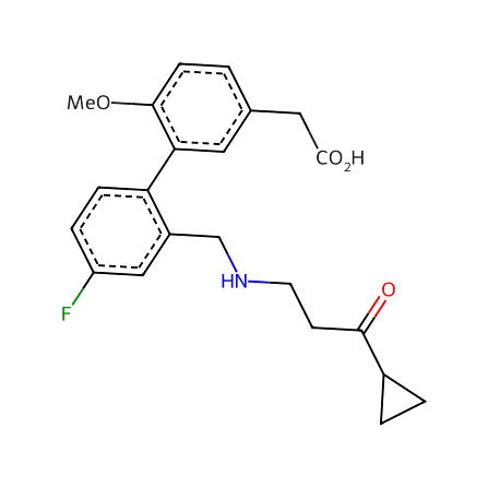 COc1ccc(CC(=O)O)cc1-c1ccc(F)cc1CNCCC(=O)C1CC1